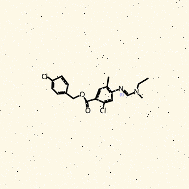 CCN(C)/C=N/c1cc(Cl)c(C(=O)OCc2ccc(Cl)cc2)cc1C